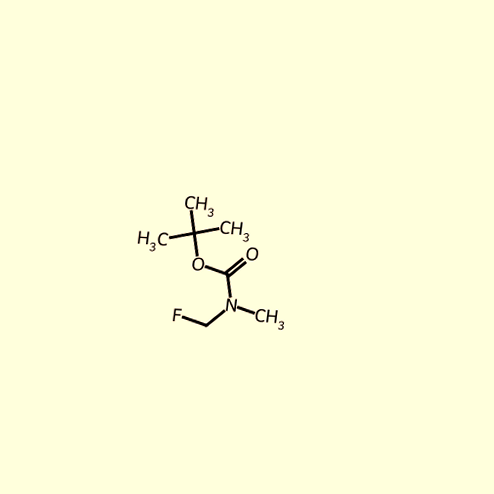 CN(CF)C(=O)OC(C)(C)C